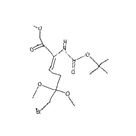 COC(=O)C(=CCC(CBr)(OC)OC)NC(=O)OC(C)(C)C